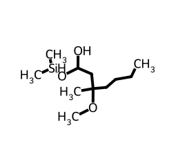 CCCCC(C)(CC(O)O[SiH](C)C)OC